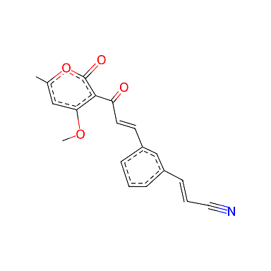 COc1cc(C)oc(=O)c1C(=O)/C=C/c1cccc(/C=C/C#N)c1